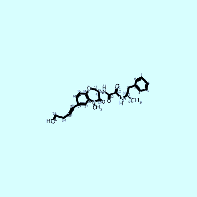 C[C@H](Cc1ccccc1)NC(=O)C(=O)N[C@H]1COc2ccc(C#CCCO)cc2N(C)C1=O